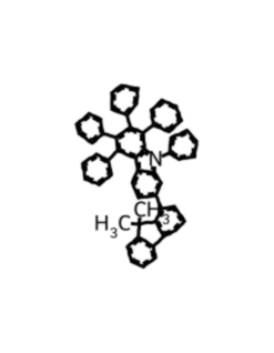 CC1(C)c2ccccc2-c2cccc(-c3ccc4c5c(-c6ccccc6)c(-c6ccccc6)c(-c6ccccc6)c(-c6ccccc6)c5n(-c5ccccc5)c4c3)c21